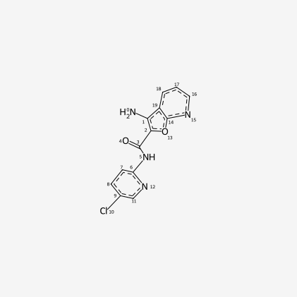 Nc1c(C(=O)Nc2ccc(Cl)cn2)oc2ncccc12